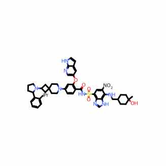 CC(C)c1ccccc1C1CCCN1C1CC2(CCN(c3ccc(C(=O)NS(=O)(=O)c4cc([N+](=O)[O-])c(NCC5CCC(C)(O)CC5)c5[nH]cnc45)c(Oc4cnc5[nH]ccc5c4)c3)CC2)C1